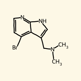 CN(C)Cc1c[nH]c2nccc(Br)c12